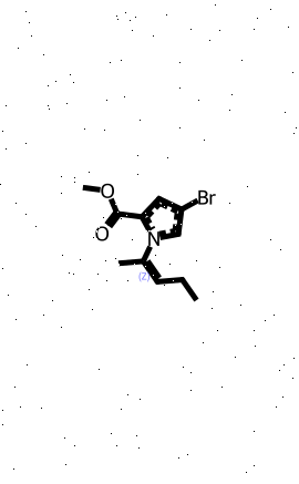 CC/C=C(/C)n1cc(Br)cc1C(=O)OC